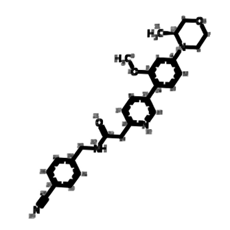 COc1cc(N2CCOC[C@@H]2C)ccc1-c1ccc(CC(=O)NCc2ccc(C#N)cc2)nc1